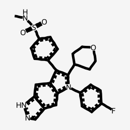 CNS(=O)(=O)c1ccc(-c2c(C3CCOCC3)n(-c3ccc(F)cc3)c3cc4cn[nH]c4cc23)cc1